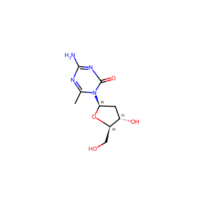 Cc1nc(N)nc(=O)n1[C@H]1C[C@H](O)[C@@H](CO)O1